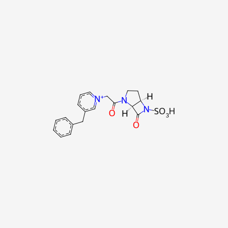 O=C(C[n+]1cccc(Cc2ccccc2)c1)N1CC[C@@H]2[C@H]1C(=O)N2S(=O)(=O)O